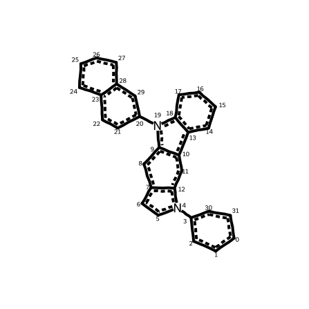 c1ccc(-n2ccc3cc4c(cc32)c2ccccc2n4-c2ccc3ccccc3c2)cc1